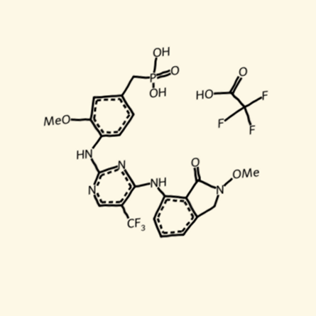 COc1cc(CP(=O)(O)O)ccc1Nc1ncc(C(F)(F)F)c(Nc2cccc3c2C(=O)N(OC)C3)n1.O=C(O)C(F)(F)F